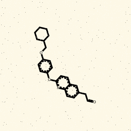 O=CCc1ccc2nc(Oc3ccc(OCC4CCCCC4)cc3)ccc2c1